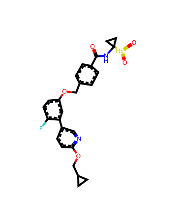 O=C(NC1([SH](=O)=O)CC1)c1ccc(COc2ccc(F)c(-c3ccc(OCC4CC4)nc3)c2)cc1